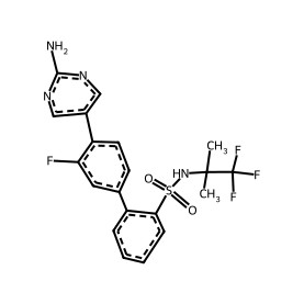 CC(C)(NS(=O)(=O)c1ccccc1-c1ccc(-c2cnc(N)nc2)c(F)c1)C(F)(F)F